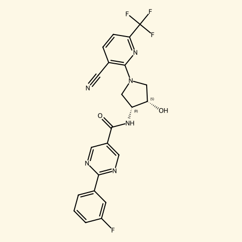 N#Cc1ccc(C(F)(F)F)nc1N1C[C@H](O)[C@H](NC(=O)c2cnc(-c3cccc(F)c3)nc2)C1